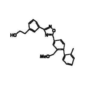 COCc1cc(-c2nc(-c3cccc(CCO)c3)no2)ccc1-c1ccccc1C